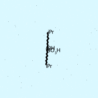 CC(C)CCCCCCCCCOCCCCCCCCCC(C)C.O=S(=O)(O)O